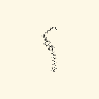 CCCCCC[C@@H]1O[C@H]1COc1ccc(-c2ncc(OCCCCCCCCC3CCCC3)cn2)cc1